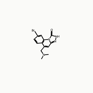 CN(C)Cc1cc2n[nH]c(=O)n2c2cc(Br)ccc12